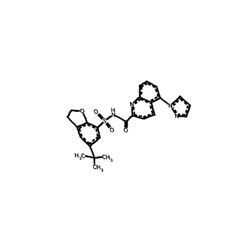 CC(C)(C)c1cc2c(c(S(=O)(=O)NC(=O)c3ccc4c(-n5cccn5)cccc4n3)c1)OCC2